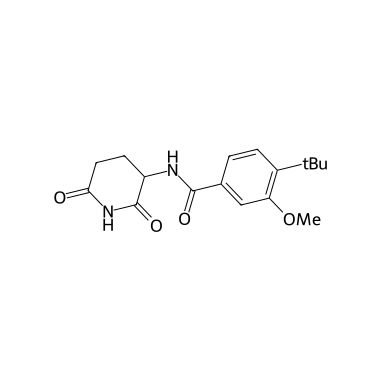 COc1cc(C(=O)NC2CCC(=O)NC2=O)ccc1C(C)(C)C